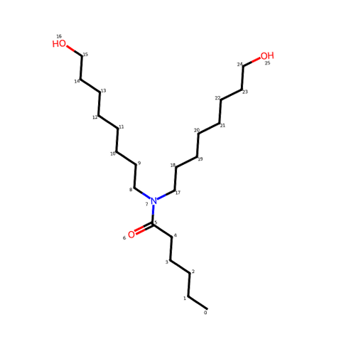 CCCCCC(=O)N(CCCCCCCCO)CCCCCCCCO